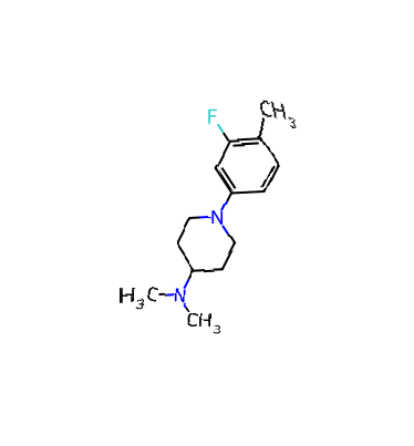 Cc1ccc(N2CCC(N(C)C)CC2)cc1F